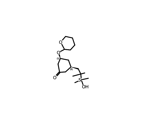 CC(C)(C[C@H]1CC(=O)C[C@@H](OC2CCCCO2)C1)[Si](C)(C)O